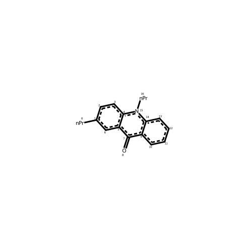 CCCc1ccc2c(c1)c(=O)c1ccccc1n2CCC